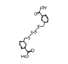 O=C(O)c1cccc(CSSSSCc2cccc(C(=O)O)c2)c1